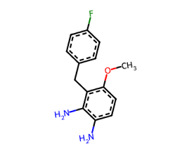 COc1ccc(N)c(N)c1Cc1ccc(F)cc1